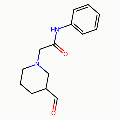 O=CC1CCCN(CC(=O)Nc2ccccc2)C1